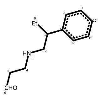 CCC(CNCCC=O)c1ccccc1